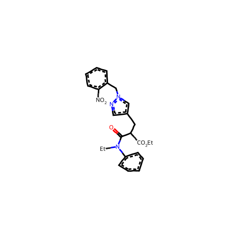 CCOC(=O)C(Cc1cnn(Cc2ccccc2[N+](=O)[O-])c1)C(=O)N(CC)c1ccccc1